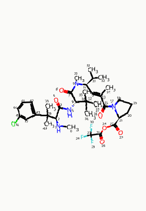 CN[C@H](C(=O)N[C@H](C(=O)N(C)[C@H](/C=C(\C)C(=O)N1CCC[C@H]1C(=O)OC(=O)C(F)(F)F)C(C)C)C(C)(C)C)C(C)(C)c1cccc(Cl)c1